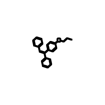 CCCOc1ccc(/C(=C\c2ccccc2)c2ccccc2)cc1